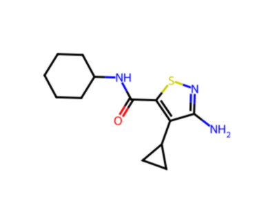 Nc1nsc(C(=O)NC2CCCCC2)c1C1CC1